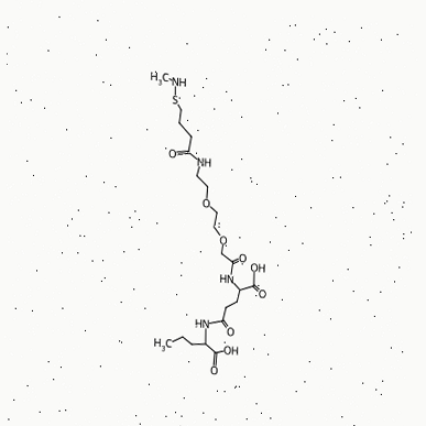 CCCC(NC(=O)CCC(NC(=O)COCCOCCNC(=O)CCCSNC)C(=O)O)C(=O)O